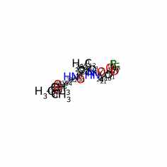 Cc1ccc(NC(=O)C2(c3ccc4c(c3)OC(F)(F)O4)CC2)nc1-c1cccc(C(=O)NCCCCCC(=O)OC(C)(C)C)c1